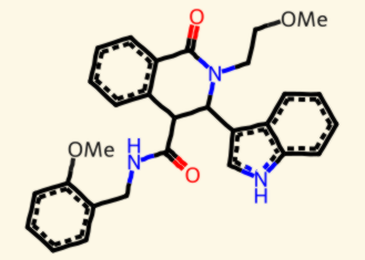 COCCN1C(=O)c2ccccc2C(C(=O)NCc2ccccc2OC)C1c1c[nH]c2ccccc12